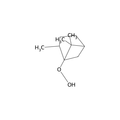 CC1CCC2CC1(OO)C2(C)C